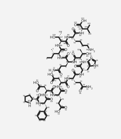 CC[C@H](C)[C@H](NC(=O)[C@H](CCC(N)=O)NC(=O)[C@@H](NC(=O)[C@H](Cc1cnc[nH]1)NC(=O)[C@H](CCC(N)=O)NC(=O)[C@H](CC(=O)O)NC(=O)[C@H](CCC(=O)O)NC(=O)[C@H](CC(=O)O)NC(=O)[C@H](Cc1ccccc1)NC(=O)[C@@H]1CCCN1)[C@@H](C)O)C(=O)N[C@H](C(=O)N[C@@H](CCCCN)C(=O)N[C@H](C(=O)O)C(C)C)[C@@H](C)O